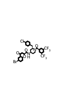 O=C(N[C@H]1CCN(C(=O)c2cc(C(F)(F)F)cc(C(F)(F)F)c2)[C@H](Cc2ccc(Cl)cc2)C1)c1cc(=O)c2cc(Br)ccc2o1